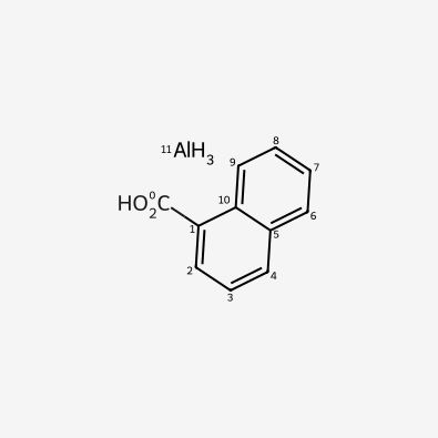 O=C(O)c1cccc2ccccc12.[AlH3]